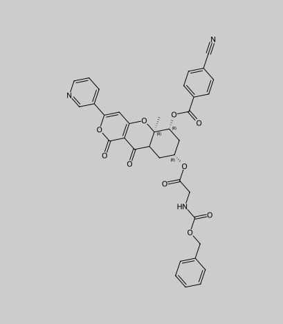 C[C@@]12Oc3cc(-c4cccnc4)oc(=O)c3C(=O)C1C[C@@H](OC(=O)CNC(=O)OCc1ccccc1)C[C@H]2OC(=O)c1ccc(C#N)cc1